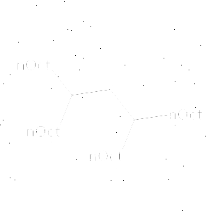 CCCCCCCCC([CH]C(CCCCCCCC)CCCCCCCC)CCCCCCCC